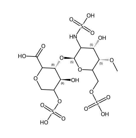 CO[C@@H]1C(COS(=O)(=O)O)O[C@@H](O[C@H]2C(C(=O)O)OCC(OS(=O)(=O)O)[C@@H]2O)C(NS(=O)(=O)O)[C@@H]1O